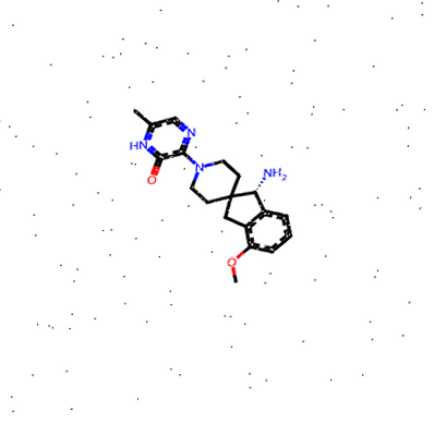 COc1cccc2c1CC1(CCN(c3ncc(C)[nH]c3=O)CC1)[C@@H]2N